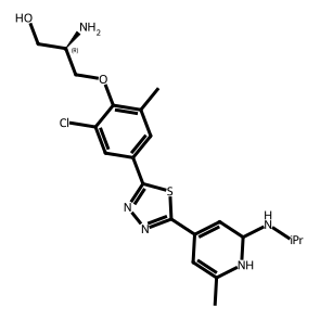 CC1=CC(c2nnc(-c3cc(C)c(OC[C@H](N)CO)c(Cl)c3)s2)=CC(NC(C)C)N1